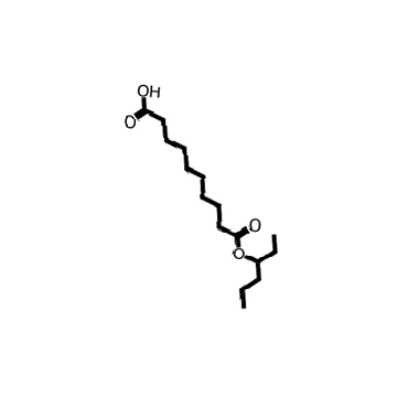 CCCC(CC)OC(=O)CCCCCCCCC(=O)O